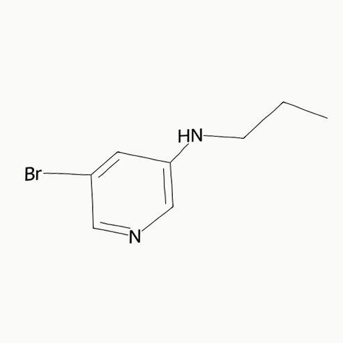 CCCNc1cncc(Br)c1